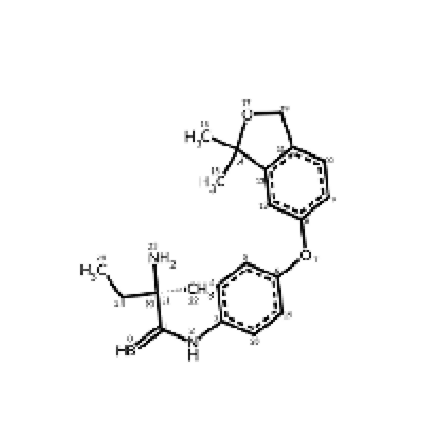 B=C(Nc1ccc(Oc2ccc3c(c2)C(C)(C)OC3)cc1)[C@](C)(N)CC